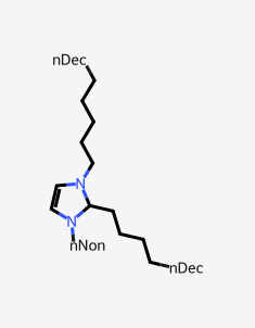 CCCCCCCCCCCCCCCN1C=CN(CCCCCCCCC)C1CCCCCCCCCCCCCC